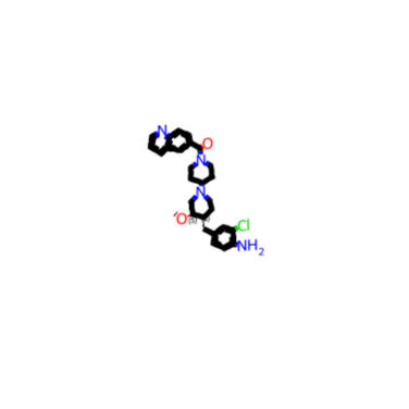 CO[C@@H]1CN(C2CCN(C(=O)c3ccc4ncccc4c3)CC2)CC[C@@H]1Cc1ccc(N)c(Cl)c1